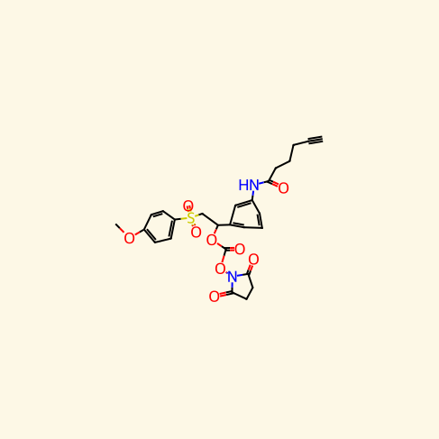 C#CCCCC(=O)Nc1cccc(C(CS(=O)(=O)c2ccc(OC)cc2)OC(=O)ON2C(=O)CCC2=O)c1